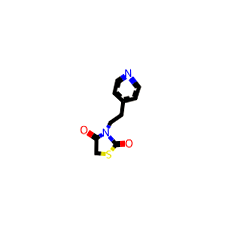 O=C1CSC(=O)N1CCc1ccncc1